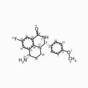 COc1ccc([C@H]2NC(=O)c3cc(F)cc4c3N2CC[C@@H]4N)cc1